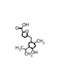 Cc1cc(O)c(C(C)C)cc1Cc1ccc(C(=O)O)o1